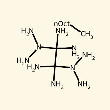 CCCCCCCCC.NN(N)C(N)(N)C(N)(N)N(N)N